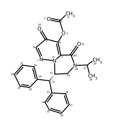 CC(=O)Oc1c2n(ncc1=O)[C@@H](C(c1ccccc1)c1ccccc1)CN(C(C)C)C2=O